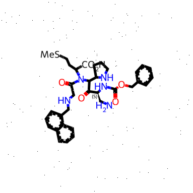 CSCCC(C(=O)O)N(C(=O)CNCc1cccc2ccccc12)C(C(=O)[C@H](CN)NC(=O)OCc1ccccc1)C1CCCN1